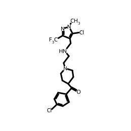 Cn1nc(C(F)(F)F)c(CNCCN2CCC(C(=O)c3ccc(Cl)cc3)CC2)c1Cl